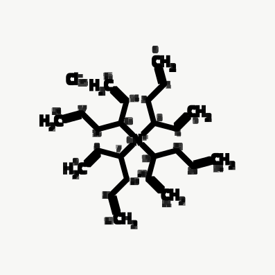 C=CCC(C=C)[N+](C(C=C)CC=C)(C(C=C)CC=C)C(C=C)CC=C.[Cl-]